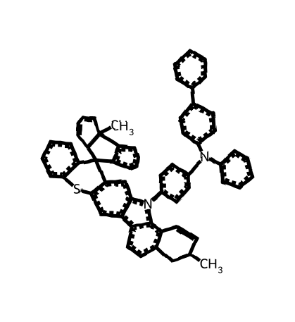 CC1C=Cc2c(ccc3c4cc5c(cc4n(-c4ccc(N(c6ccccc6)c6ccc(-c7ccccc7)cc6)cc4)c23)C2(c3ccccc3S5)c3ccccc3C3(C)C=CC=CC32)C1